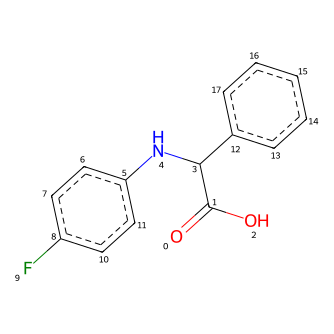 O=C(O)C(Nc1ccc(F)cc1)c1ccccc1